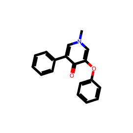 Cn1cc(Oc2ccccc2)c(=O)c(-c2ccccc2)c1